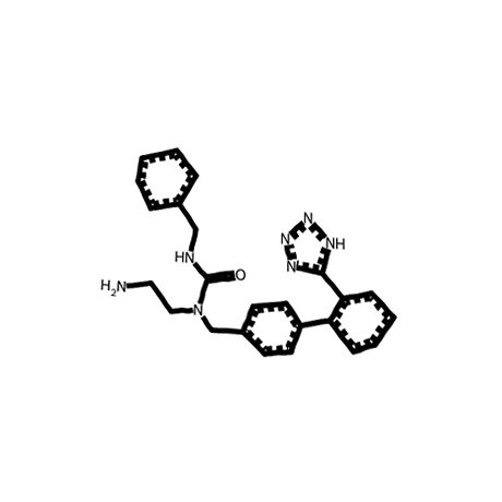 NCCN(Cc1ccc(-c2ccccc2-c2nnn[nH]2)cc1)C(=O)NCc1ccccc1